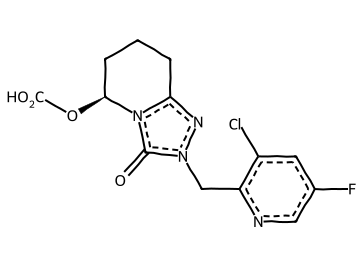 O=C(O)O[C@H]1CCCc2nn(Cc3ncc(F)cc3Cl)c(=O)n21